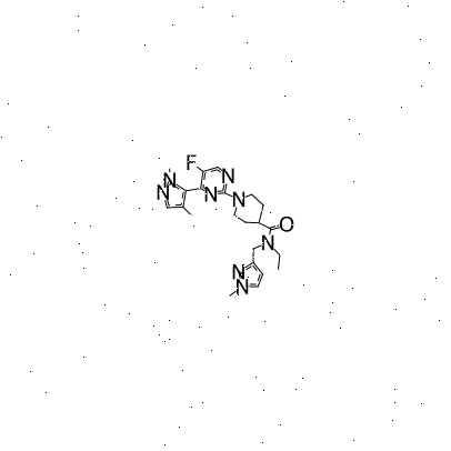 CCN(Cc1ccn(C)n1)C(=O)C1CCN(c2ncc(F)c(-c3c(C)cnn3C)n2)CC1